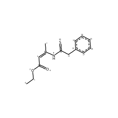 CCOC(=O)/C=C(/C)NC(=S)Cc1ccccc1